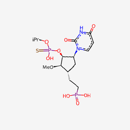 CO[C@@H]1[C@@H](CCP(=O)(O)O)C[C@H](n2ccc(=O)[nH]c2=O)[C@@H]1OP(O)(=S)OC(C)C